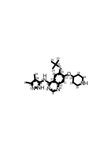 Cc1n[nH]c(Nc2ncnc3cc(OC4CCNCC4)c(SC(C)(C)C)cc23)c1C